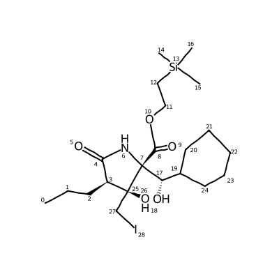 CCC[C@H]1C(=O)N[C@](C(=O)OCC[Si](C)(C)C)([C@@H](O)C2CCCCC2)[C@]1(O)CI